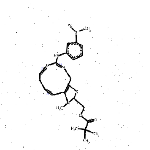 CN1C2=C(C/N=C(Nc3cccc([S+](C)[O-])c3)\N=C/C/C=C\2)SC1COC(=O)C(C)(C)C